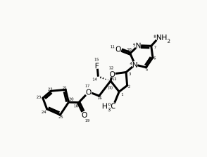 CC1CC(n2ccc(N)nc2=O)O[C@]1(CF)COC(=O)c1ccccc1